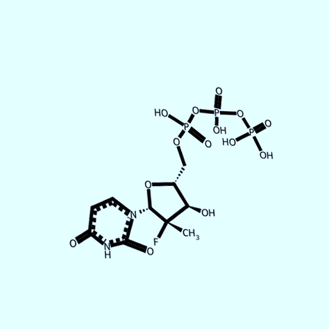 C[C@]1(F)[C@H](O)[C@@H](COP(=O)(O)OP(=O)(O)OP(=O)(O)O)O[C@H]1n1ccc(=O)[nH]c1=O